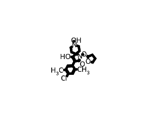 Cc1cc(C2=C(O)C3(CCN(O)CC3)N(OC3CCCO3)C2=O)c(C)cc1Cl